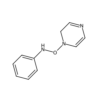 C1=CN(ONc2ccccc2)CC=N1